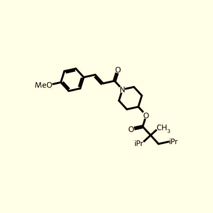 COc1ccc(/C=C/C(=O)N2CCC(OC(=O)C(C)(CC(C)C)C(C)C)CC2)cc1